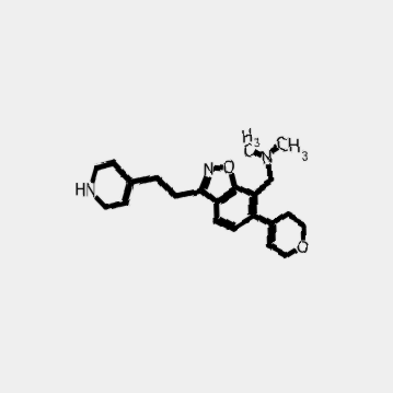 CN(C)Cc1c(C2=CCOCC2)ccc2c(CCC3CCNCC3)noc12